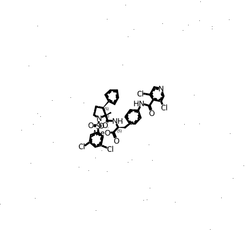 COC(=O)[C@H](Cc1ccc(NC(=O)c2c(Cl)cncc2Cl)cc1)NC(=O)[C@@]1(C)[C@H](c2ccccc2)CCN1S(=O)(=O)c1cc(Cl)cc(Cl)c1